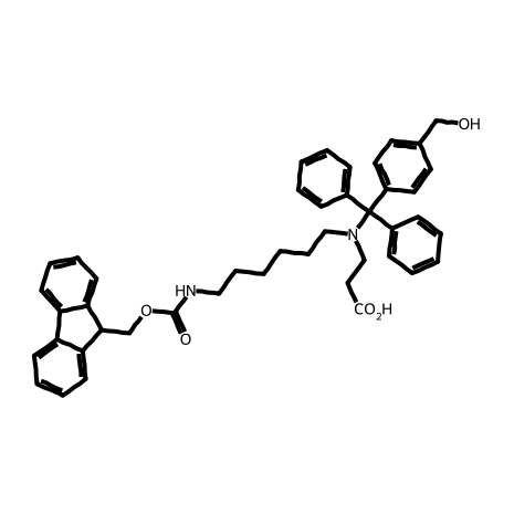 O=C(O)CCN(CCCCCCNC(=O)OCC1c2ccccc2-c2ccccc21)C(c1ccccc1)(c1ccccc1)c1ccc(CO)cc1